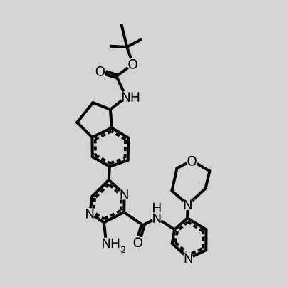 CC(C)(C)OC(=O)NC1CCc2cc(-c3cnc(N)c(C(=O)Nc4cnccc4N4CCOCC4)n3)ccc21